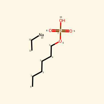 CCCCCCOS(=O)(=O)O.C[CH2][Na]